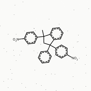 CC1(c2ccc([N+](=O)[O-])cc2)CC(c2ccccc2)(c2ccc([N+](=O)[O-])cc2)c2ccccc21